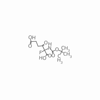 CC(C)(C)OC(=O)NC(F)(C(=O)O)C(=O)CCC(=O)O